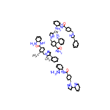 Cc1cc(C(=O)Nc2ccccc2N)ccc1Cn1ncc(-c2ccccc2)c1C.N#Cc1ccn(Cc2ccc(C(N)=O)c(-c3ccccc3N)c2)n1.Nc1ccccc1NC(=O)c1ccc(Cn2cc(-c3ccccc3)cn2)cc1.Nc1ccccc1NC(=O)c1ccc(Cn2nccc2-c2ccccn2)cc1